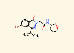 CC(C)c1nn(CC(=O)NC2CCCOC2)c(=O)c2ccc(Br)cc12